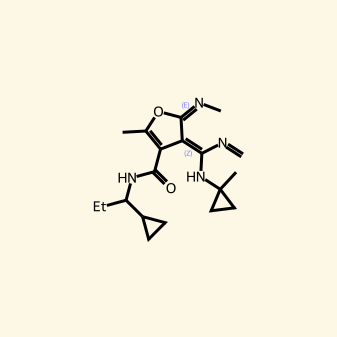 C=N/C(NC1(C)CC1)=C1/C(C(=O)NC(CC)C2CC2)=C(C)O/C1=N/C